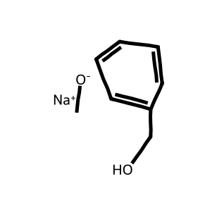 C[O-].OCc1ccccc1.[Na+]